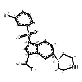 O=S(=O)(c1cccc(Br)c1)n1cc(C(F)F)c2cc(N3CCNCC3)ccc21